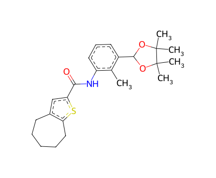 Cc1c(NC(=O)c2cc3c(s2)CCCCC3)cccc1C1OC(C)(C)C(C)(C)O1